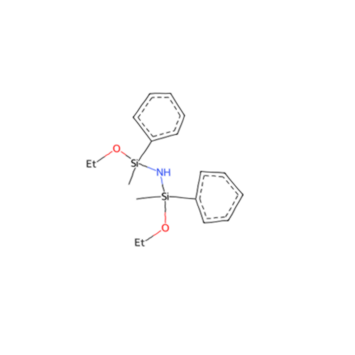 CCO[Si](C)(N[Si](C)(OCC)c1ccccc1)c1ccccc1